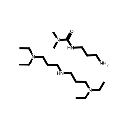 CCN(CC)CCCNCCCN(CC)CC.CN(C)C(=O)NCCCN